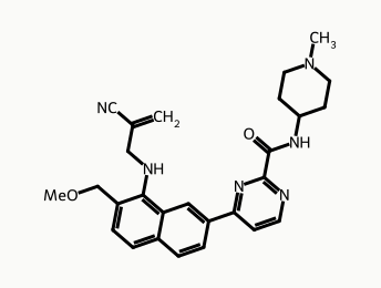 C=C(C#N)CNc1c(COC)ccc2ccc(-c3ccnc(C(=O)NC4CCN(C)CC4)n3)cc12